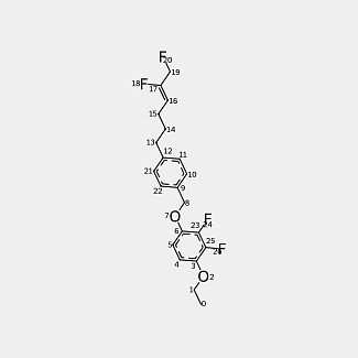 CCOc1ccc(OCc2ccc(CCC/C=C(\F)CF)cc2)c(F)c1F